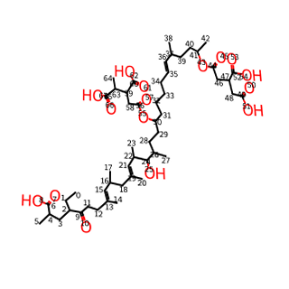 CCC(CC(C)C(=O)O)C(=O)CCC(C)=CC(C)CC(C)=CC(C)C(O)C(C)CCC(CCCCC=CC(C)CCC(C)OC(=O)CC(CC(=O)O)C(=O)O)OC(=O)CC(C(=O)O)C(C)C(=O)O